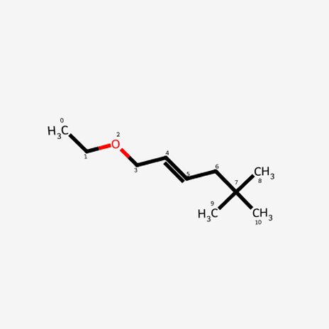 CCOC/C=C/CC(C)(C)C